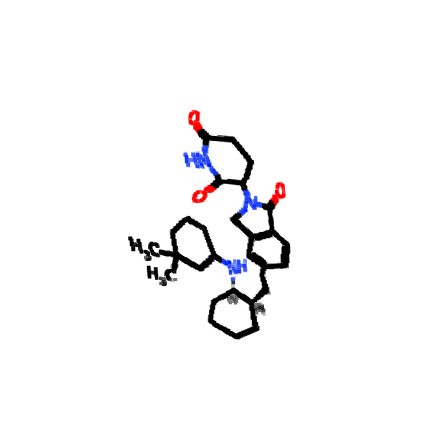 CC1(C)CCCC(N[C@H]2CCCC[C@@H]2Cc2ccc3c(c2)CN(C2CCC(=O)NC2=O)C3=O)C1